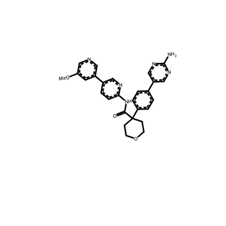 COc1cncc(-c2ccc(NC(=O)C3(c4ccc(-c5cnc(N)nc5)cc4)CCOCC3)nc2)c1